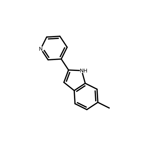 Cc1ccc2cc(-c3cccnc3)[nH]c2c1